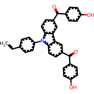 C=Cc1ccc(-n2c3ccc(C(=O)c4ccc(O)cc4)cc3c3cc(C(=O)c4ccc(O)cc4)ccc32)cc1